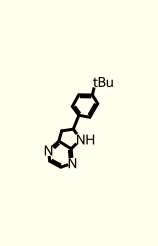 CC(C)(C)c1ccc(C2Cc3nccnc3N2)cc1